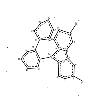 Cc1ccc2c(c1)c1cc(Br)ccc1n2-c1ccccc1-c1ccccc1